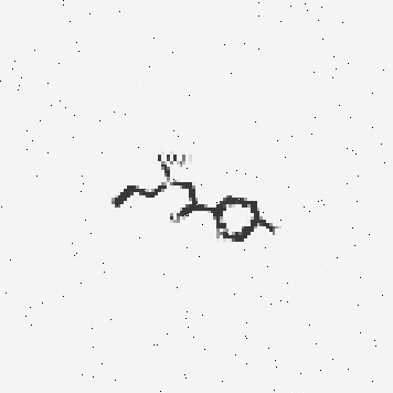 C=CCN(CC(=O)c1ccc(F)cn1)C(=O)O